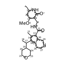 COc1cc(C)[nH]c(=O)c1CNC(=O)c1c(C)c(C(C)C2CCOCC2)n2ccncc12